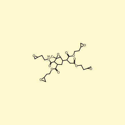 CC12OC1C(C(CC(=O)OCCC1CO1)C(=O)OCCC1CO1)CC(C(=O)OCCC1CO1)C2C(=O)OCCC1CO1